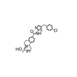 CC(C)CC1c2ccc(C(=O)Nc3ncc(Cc4ccc(Cl)cc4)s3)cc2CCN1C(=O)O